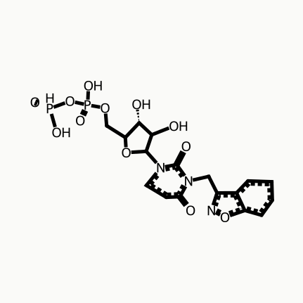 O=c1ccn(C2OC(COP(=O)(O)O[PH](=O)O)[C@H](O)C2O)c(=O)n1Cc1noc2ccccc12